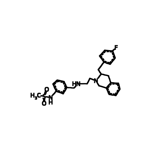 CS(=O)(=O)Nc1cccc(CNCCN2Cc3ccccc3CC2Cc2ccc(F)cc2)c1